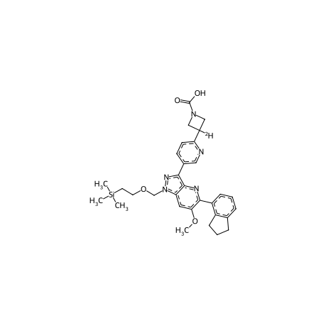 [2H]C1(c2ccc(-c3nn(COCC[Si](C)(C)C)c4cc(OC)c(-c5cccc6c5CCC6)nc34)cn2)CN(C(=O)O)C1